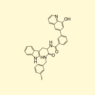 O=C(NC(Cc1c[nH]c2ccccc12)C(=O)NCc1cccc(I)c1)c1cccc(-c2cc(O)c3ncccc3c2)c1